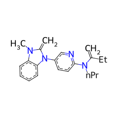 C=C(CC)N(CCC)c1ccc(N2C(=C)N(C)c3ccccc32)cn1